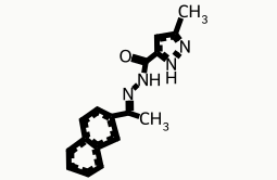 CC(=NNC(=O)c1cc(C)n[nH]1)c1ccc2ccccc2c1